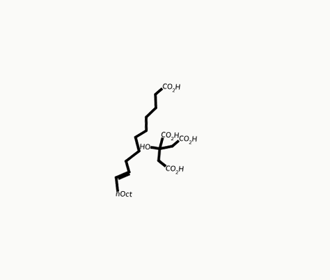 CCCCCCCCC=CCCCCCCCC(=O)O.O=C(O)CC(O)(CC(=O)O)C(=O)O